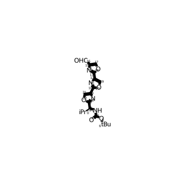 CC(C)[C@H](NC(=O)OC(C)(C)C)c1nc(-c2nc(-c3nc(C=O)co3)co2)co1